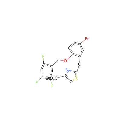 CCOC(=O)c1csc(Cc2cc(Br)ccc2OCc2cc(F)c(F)cc2F)n1